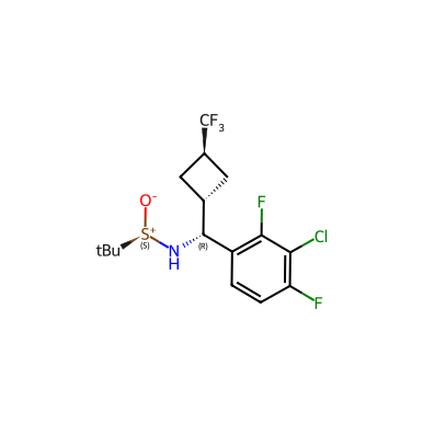 CC(C)(C)[S@@+]([O-])N[C@@H](c1ccc(F)c(Cl)c1F)[C@H]1C[C@H](C(F)(F)F)C1